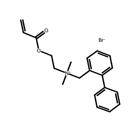 C=CC(=O)OCC[N+](C)(C)Cc1ccccc1-c1ccccc1.[Br-]